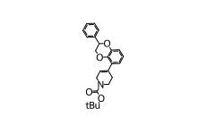 CC(C)(C)OC(=O)N1CC=C(c2cccc3c2OCC(c2ccccc2)O3)CC1